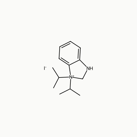 CC(C)[N+]1(C(C)C)CNc2ccccc21.[I-]